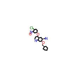 N#Cc1cc2c(Oc3ccc(Cl)c(N=O)c3)ccnc2cc1OCc1ccccc1